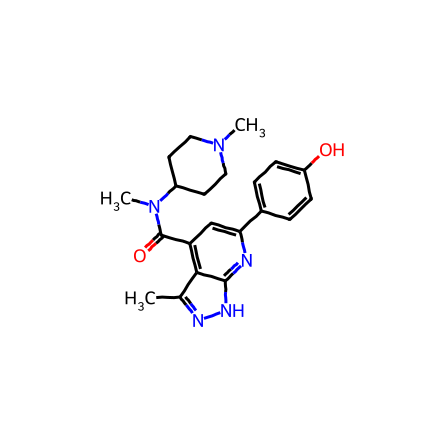 Cc1n[nH]c2nc(-c3ccc(O)cc3)cc(C(=O)N(C)C3CCN(C)CC3)c12